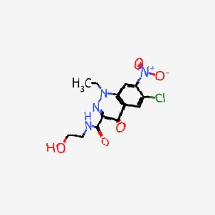 CCn1nc(C(=O)NCCO)c(=O)c2cc(Cl)c([N+](=O)[O-])cc21